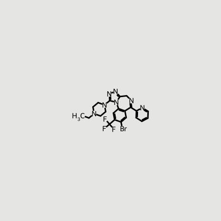 CCN1CCN(c2nnc3n2-c2cc(C(F)(F)F)c(Br)cc2C(c2ccccn2)=NC3)CC1